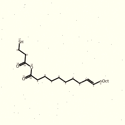 CCCCCCCCC=CCCCCCCCC(=O)OC(=O)CCS